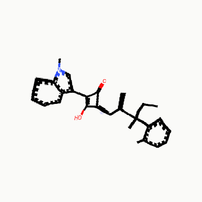 C=C(/C=C1\C(=O)C(c2cn(C)c3ccccc23)=C1O)C(C)(CC)c1ccccc1C